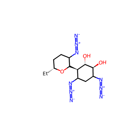 CC[C@@H]1CCC(N=[N+]=[N-])C([C@@H]2C(N=[N+]=[N-])CC(N=[N+]=[N-])[C@H](O)[C@H]2O)O1